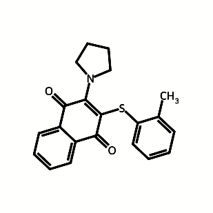 Cc1ccccc1SC1=C(N2CCCC2)C(=O)c2ccccc2C1=O